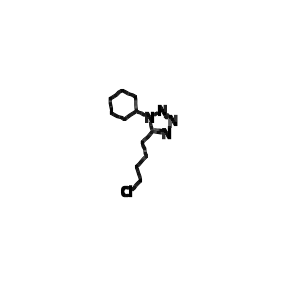 ClCCCCc1nnnn1C1CCCCC1